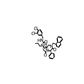 CCCN(C(=O)NCc1ccc(Cl)c(Cl)c1)N1CC(=O)N2[C@@H](c3ccccc3)C(=O)N(Cc3cccc4ccccc34)C[C@@H]21